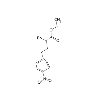 CCOC(=O)C(Br)CCc1ccc([N+](=O)[O-])cc1